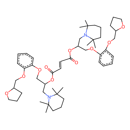 CC1(C)CCCC(C)(C)N1CC(COc1ccccc1OCC1CCCO1)OC(=O)/C=C/C(=O)OC(COc1ccccc1OCC1CCCO1)CN1C(C)(C)CCCC1(C)C